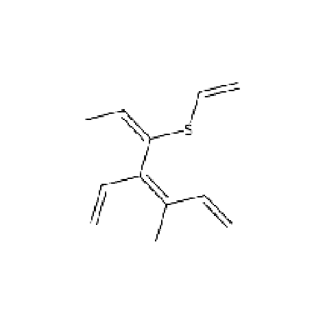 C=CSC(=C/C)/C(C=C)=C(/C)C=C